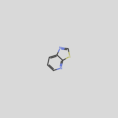 [c]1ccc2ncsc2n1